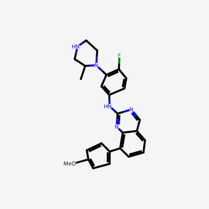 COc1ccc(-c2cccc3cnc(Nc4ccc(F)c(N5CCNCC5C)c4)nc23)cc1